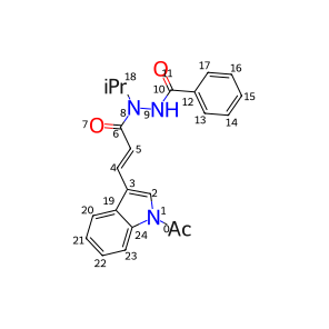 CC(=O)n1cc(C=CC(=O)N(NC(=O)c2ccccc2)C(C)C)c2ccccc21